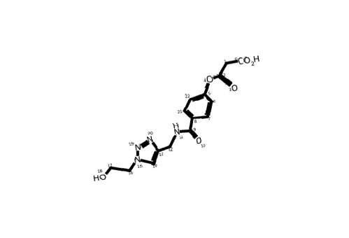 O=C(O)CC(=O)Oc1ccc(C(=O)NCc2cn(CCO)nn2)cc1